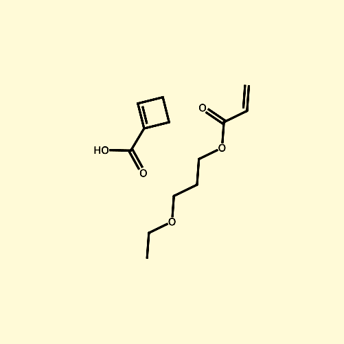 C=CC(=O)OCCCOCC.O=C(O)C1=CCC1